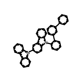 c1ccc(-c2cccc(-c3ccccc3-n3c4ccccc4c4cc(-n5c6ccccc6c6ccccc65)ccc43)c2)cc1